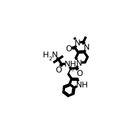 Cc1nc2c(c(=O)n1C)CN(C(=O)[C@@H](Cc1c[nH]c3ccccc13)NC(=O)C(C)(C)N)CC2